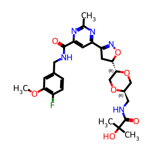 COc1cc(CNC(=O)c2cc(C3=NOC([C@H]4CO[C@H](CNC(=O)C(C)(C)O)CO4)C3)nc(C)n2)ccc1F